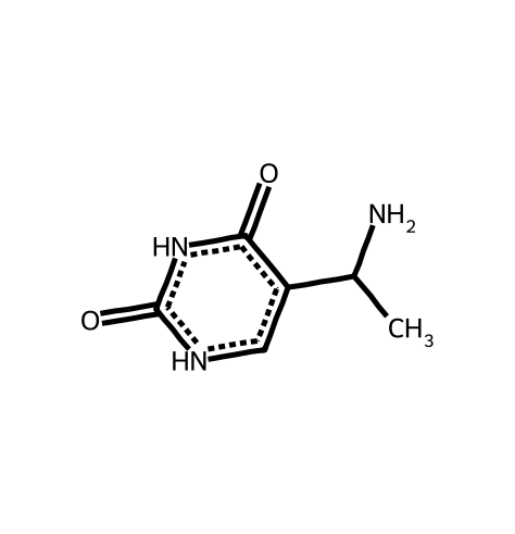 CC(N)c1c[nH]c(=O)[nH]c1=O